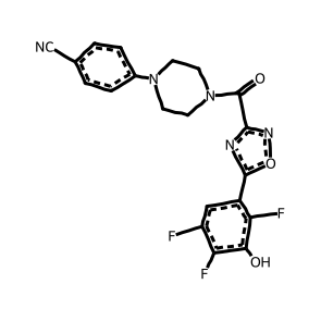 N#Cc1ccc(N2CCN(C(=O)c3noc(-c4cc(F)c(F)c(O)c4F)n3)CC2)cc1